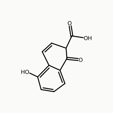 O=C(O)C1C=Cc2c(O)cccc2C1=O